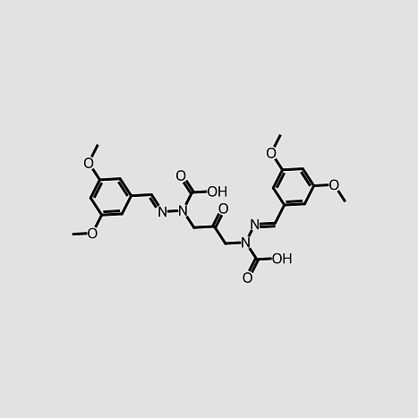 COc1cc(C=NN(CC(=O)CN(N=Cc2cc(OC)cc(OC)c2)C(=O)O)C(=O)O)cc(OC)c1